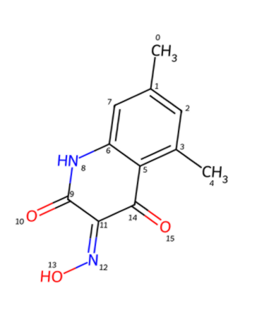 Cc1cc(C)c2c(c1)NC(=O)C(=NO)C2=O